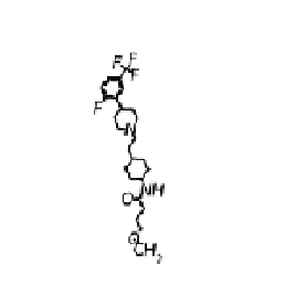 COCCCC(=O)NC1CCC(CCN2CC=C(c3cc(C(F)(F)F)ccc3F)CC2)CC1